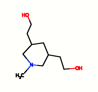 CN1CC(CCO)CC(CCO)C1